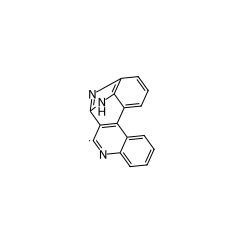 [c]1nc2ccccc2c2c1-c1nc3cccc-2c3[nH]1